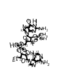 CCC1OC(n2cnc3c(N)ncnc32)C(O)C1OP(=O)(O)OCC1OC(n2cnc3c(=O)[nH]c(N)nc32)C(OP(C)(=O)O)C1F